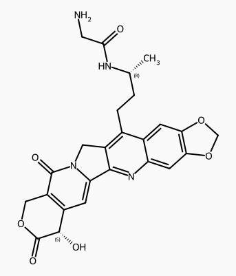 C[C@H](CCc1c2c(nc3cc4c(cc13)OCO4)-c1cc3c(c(=O)n1C2)COC(=O)[C@H]3O)NC(=O)CN